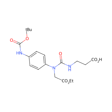 CCOC(=O)CN(C(=O)NCCC(=O)O)c1ccc(NC(=O)OC(C)(C)C)cc1